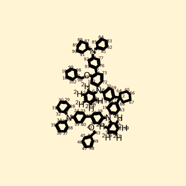 [2H]c1c([2H])c([2H])c(N(c2ccc(C3(c4ccc(N(c5ccc(-c6ccc(N(c7ccccc7)c7ccccc7)cc6)c(OCc6ccccc6)c5)c5c([2H])c([2H])c([2H])c([2H])c5[2H])cc4)CCCCC3)cc2)c2ccc(-c3ccc(N(c4ccccc4)c4ccccc4)cc3)c(OCc3ccccc3)c2)c([2H])c1[2H]